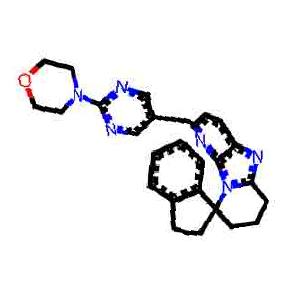 c1ccc2c(c1)CCC21CCCc2nc3ccc(-c4cnc(N5CCOCC5)nc4)nc3n21